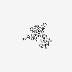 CC(C)c1nc(CN(C)C(=O)N[C@H](C(=O)N[C@@H](Cc2ccccc2)C[C@H](O)[C@H](Cc2ccccc2)NC(=O)OCc2cncs2)C(C)C)cs1.Cc1ccnc2c1NC(=O)c1cccnc1N2C1CC1